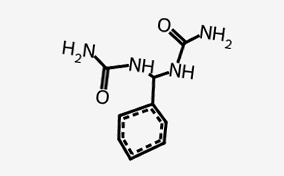 NC(=O)NC(NC(N)=O)c1ccccc1